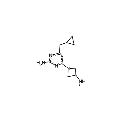 CNC1CN(c2cc(CC3CC3)nc(N)n2)C1